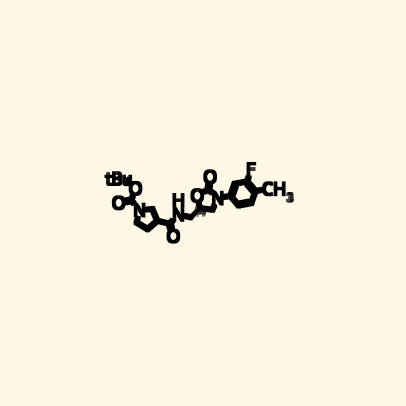 Cc1ccc(N2C[C@@H](CNC(=O)C3CCN(C(=O)OC(C)(C)C)C3)OC2=O)cc1F